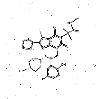 Cc1c(-n2nccn2)sc2c1c(=O)n(C(C)(C)C(=O)NC(C)C)c(=O)n2C[C@H](O[C@H]1CC[C@@H](O)CC1)c1cc(F)ccc1O